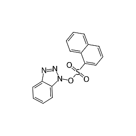 O=S(=O)(On1nnc2ccccc21)c1cccc2ccccc12